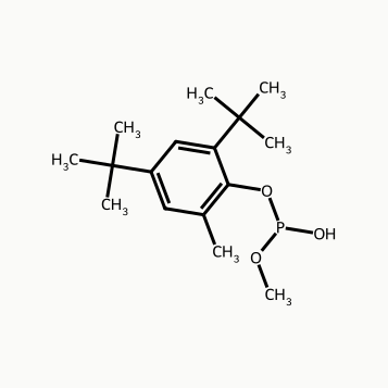 COP(O)Oc1c(C)cc(C(C)(C)C)cc1C(C)(C)C